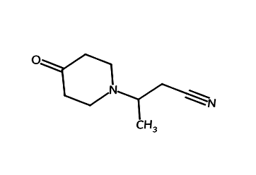 CC(CC#N)N1CCC(=O)CC1